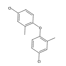 Cc1cc(Cl)ccc1Oc1ccc(Cl)cc1C